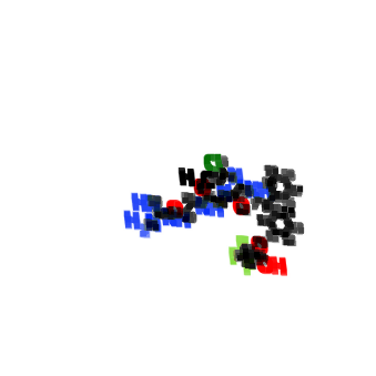 Cc1c(Cl)nc(NCC(c2ccccc2)c2ccccc2)c(=O)n1CC(=O)NCCONC(=N)N.O=C(O)C(F)(F)F